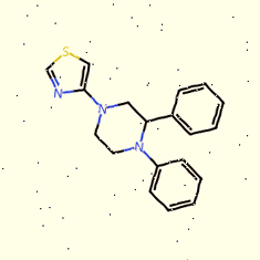 [c]1scnc1N1CCN(c2ccccc2)C(c2ccccc2)C1